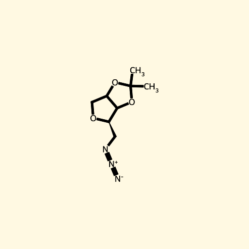 CC1(C)OC2CO[C@H](CN=[N+]=[N-])C2O1